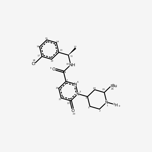 [2H]N1CCC(n2nc(C(=O)N[C@H](C)c3cccc(Cl)c3)ccc2=O)CC1C(C)(C)C